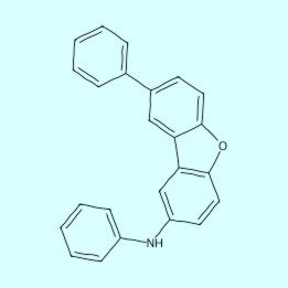 c1ccc(Nc2ccc3oc4ccc(-c5ccccc5)cc4c3c2)cc1